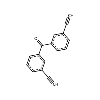 C#Cc1cccc(C(=O)c2cccc(C#C)c2)c1